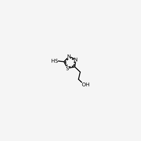 OCCc1nnc(S)s1